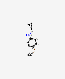 CSc1ccc(NCC2CC2)cc1